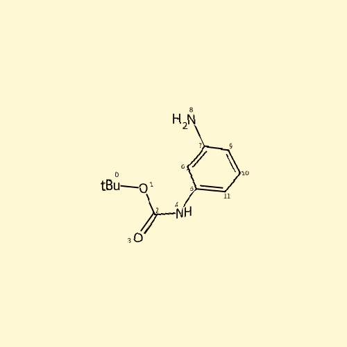 CC(C)(C)OC(=O)Nc1[c]c(N)ccc1